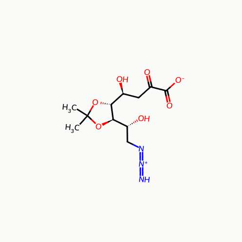 CC1(C)O[C@H]([C@H](O)CN=[N+]=N)[C@@H]([C@@H](O)CC(=O)C(=O)[O-])O1